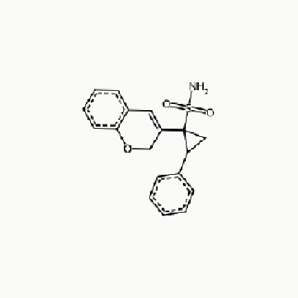 NS(=O)(=O)C1(C2=Cc3ccccc3OC2)CC1c1ccccc1